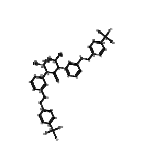 O=C(C(c1cccc(OCc2ccc(C(F)(F)F)cc2)c1)C(O)O)C(c1cccc(OCc2ccc(C(F)(F)F)cc2)c1)C(O)O